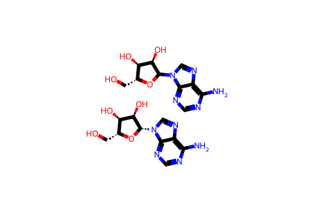 Nc1ncnc2c1ncn2C1O[C@H](CO)[C@@H](O)[C@H]1O.Nc1ncnc2c1ncn2[C@@H]1O[C@H](CO)[C@@H](O)[C@H]1O